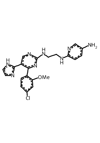 COc1cc(Cl)ccc1-c1nc(NCCNc2ccc(N)cn2)ncc1-c1ncc[nH]1